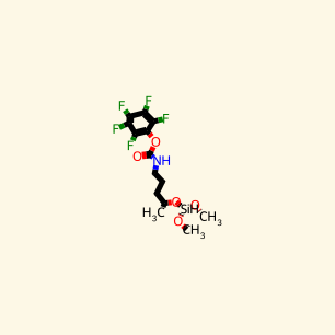 CO[SiH](OC)OC(C)CCCNC(=O)Oc1c(F)c(F)c(F)c(F)c1F